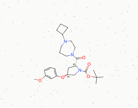 COc1cccc(O[C@H]2C[C@H](C(=O)N3CCCN(C4CCC4)CC3)N(C(=O)OC(C)(C)C)C2)c1